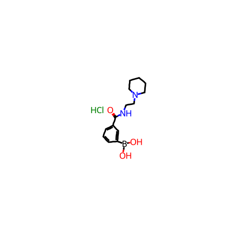 Cl.O=C(NCCN1CCCCC1)c1cccc(B(O)O)c1